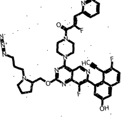 C#Cc1c(F)ccc2cc(O)cc(-c3ncc4c(N5CCN(C(=O)/C(F)=C/c6ccccn6)CC5)nc(OCC5CCCN5CCCN=[N+]=[N-])nc4c3F)c12